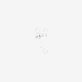 CC(C)c1cccc(C(C)C)c1NC(=O)CSCC(=O)c1ccccc1